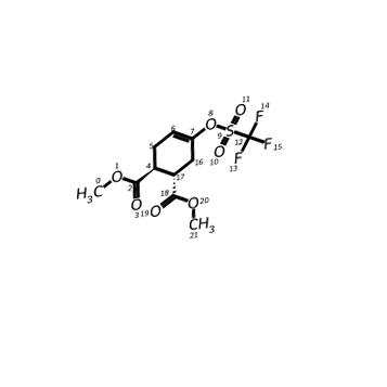 COC(=O)[C@H]1CC=C(OS(=O)(=O)C(F)(F)F)C[C@@H]1C(=O)OC